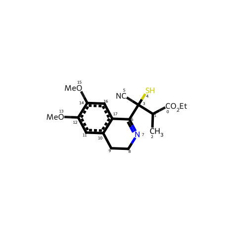 CCOC(=O)C(C)C(S)(C#N)C1=NCCc2cc(OC)c(OC)cc21